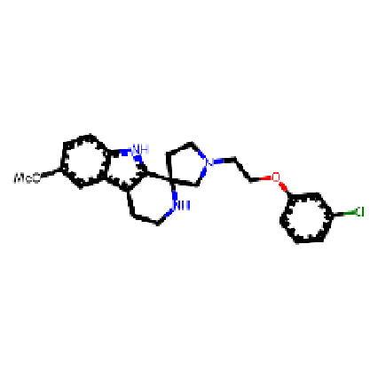 COc1ccc2[nH]c3c(c2c1)CCNC31CCN(CCOc2cccc(Cl)c2)C1